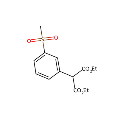 CCOC(=O)C(C(=O)OCC)c1cccc(S(C)(=O)=O)c1